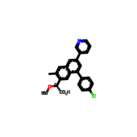 Cc1cc2cc(-c3cccnc3)cc(-c3ccc(Cl)cc3)c2cc1[C@H](OC(C)(C)C)C(=O)O